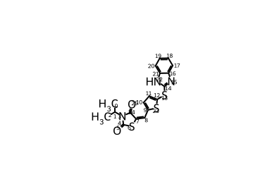 CC(C)N1C(=O)SC(=Cc2ccc(Sc3nc4ccccc4[nH]3)s2)C1=O